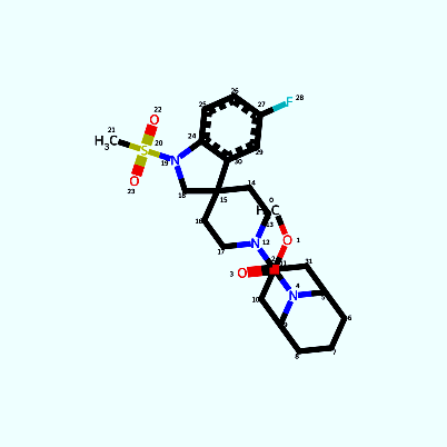 COC(=O)N1C2CCCC1CC(N1CCC3(CC1)CN(S(C)(=O)=O)c1ccc(F)cc13)C2